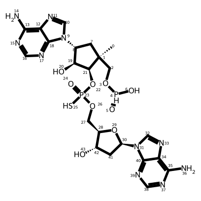 C[C@@]1(CO[PH](=O)O)C[C@@H](n2cnc3c(N)ncnc32)[C@H](O)[C@@H]1OP(=O)(S)OC[C@H]1O[C@@H](n2cnc3c(N)ncnc32)C[C@@H]1O